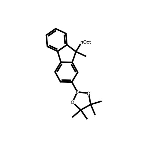 CCCCCCCCC1(C)c2ccccc2-c2ccc(B3OC(C)(C)C(C)(C)O3)cc21